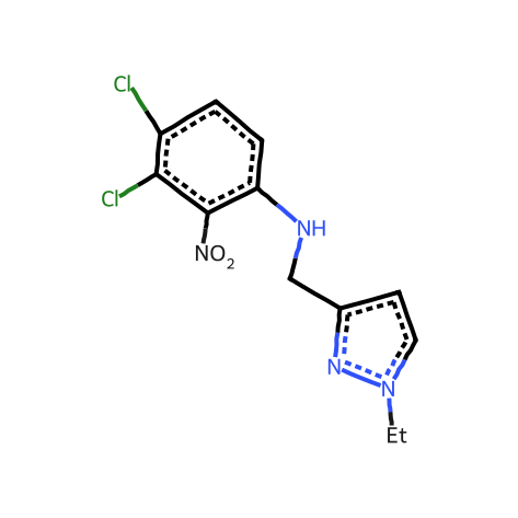 CCn1ccc(CNc2ccc(Cl)c(Cl)c2[N+](=O)[O-])n1